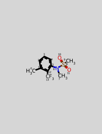 Cc1cccc(N(C)S(C)(=O)=O)c1C(F)(F)F